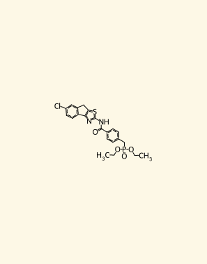 CCOP(=O)(Cc1ccc(C(=O)Nc2nc3c(s2)Cc2cc(Cl)ccc2-3)cc1)OCC